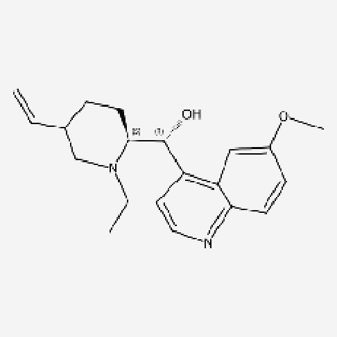 C=CC1CC[C@@H]([C@H](O)c2ccnc3ccc(OC)cc23)N(CC)C1